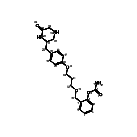 NC(=O)Oc1ccccc1COCCCOc1ccc([CH][C@@H]2CNCC(=O)N2)cc1